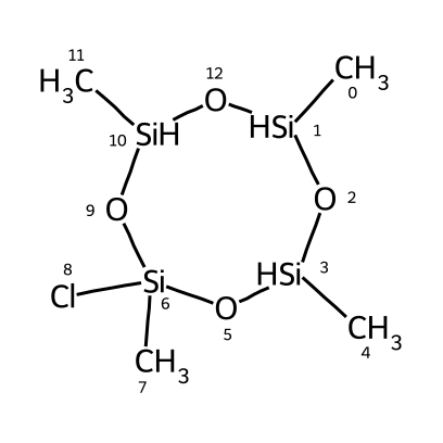 C[SiH]1O[SiH](C)O[Si](C)(Cl)O[SiH](C)O1